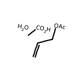 C=CCOC(C)=O.CC(=O)O.O